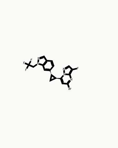 Fc1cnn2c([C@H]3C[C@@H]3c3ccc4cnn(CC(F)(F)F)c4c3)cc(Br)nc12